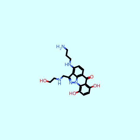 NCCCNc1ccc2c(=O)c3c(O)ccc(O)c3n3nc(CNCCO)c1c23